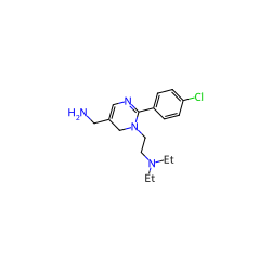 CCN(CC)CCN1CC(CN)=CN=C1c1ccc(Cl)cc1